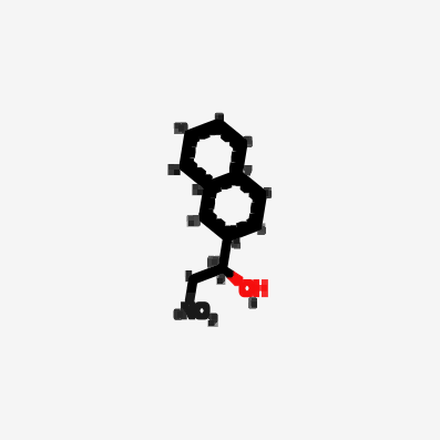 O=[N+]([O-])C[C@H](O)c1ccc2ccccc2c1